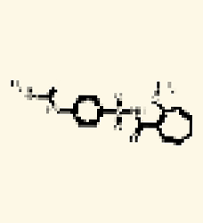 CNC(=O)Nc1ccc(S(=O)(=O)NC(=O)C2=C(OC)C=CCC=C2)cc1